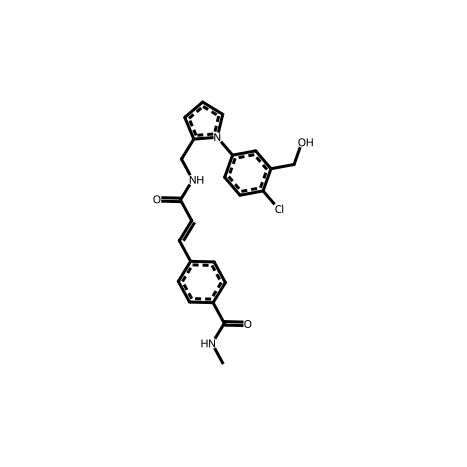 CNC(=O)c1ccc(C=CC(=O)NCc2cccn2-c2ccc(Cl)c(CO)c2)cc1